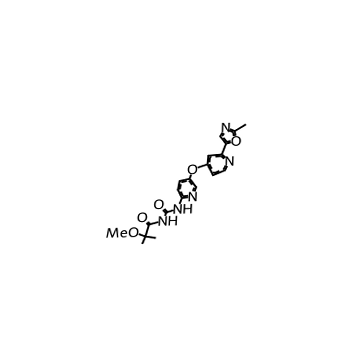 COC(C)(C)C(=O)NC(=O)Nc1ccc(Oc2ccnc(-c3cnc(C)o3)c2)cn1